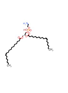 CCCCCC/C=C\CCCCCCCCCC(=O)OC[C@H](COP(=O)(O)OCCN)OC(=O)CCCCCCCCC/C=C\CCCCCC